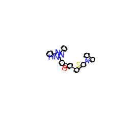 C1=C(n2c3ccccc3c3ccccc32)CCc2c1sc1c(-c3ccc4c(c3)oc3ccc(C5=NC(c6ccccc6)=NC(c6ccccc6)N5)cc34)cccc21